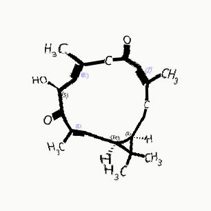 C/C1=C/C(=O)C/C(C)=C/[C@H](O)C(=O)/C(C)=C/[C@H]2[C@@H](CC1)C2(C)C